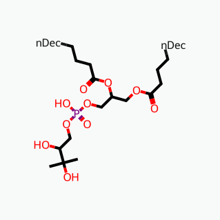 CCCCCCCCCCCCCC(=O)OCC(COP(=O)(O)OCC(O)C(C)(C)O)OC(=O)CCCCCCCCCCCCC